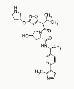 Cc1ncsc1-c1ccc([C@H](C)NC(=O)[C@@H]2C[C@@H](O)CN2C(=O)C(c2cc(OC3CCNC3)no2)C(C)C)cc1